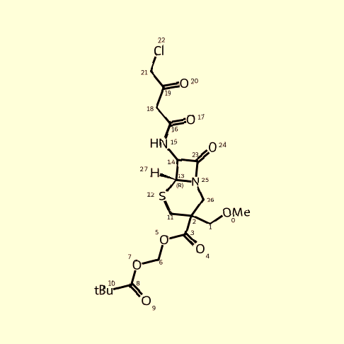 COCC1(C(=O)OCOC(=O)C(C)(C)C)CS[C@@H]2C(NC(=O)CC(=O)CCl)C(=O)N2C1